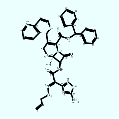 C=CCO/N=C(/C(=O)NC1C(=O)N2C(C(=O)OC(c3ccccc3)c3ccccc3)=C(CS/C=C\c3ccccn3)CS[C@H]12)c1nsc(N)n1